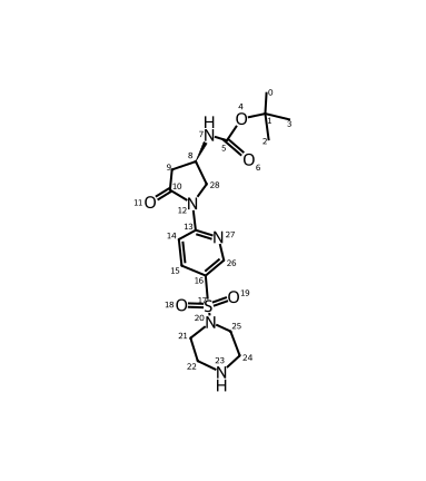 CC(C)(C)OC(=O)N[C@@H]1CC(=O)N(c2ccc(S(=O)(=O)N3CCNCC3)cn2)C1